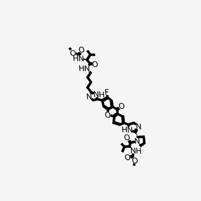 COC(=O)N[C@H](C(=O)NCCCCC1=NCC(c2cc3oc4ccc(C5CN=C([C@@H]6CCCN6C(=O)[C@@H](NC(=O)OC)C(C)C)N5)cc4c(=O)c3cc2F)N1)C(C)C